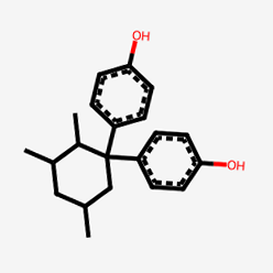 CC1CC(C)C(C)C(c2ccc(O)cc2)(c2ccc(O)cc2)C1